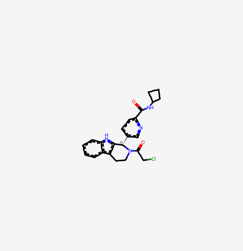 O=C(NC1CCC1)c1ccc([C@H]2c3[nH]c4ccccc4c3CCN2C(=O)CCl)cn1